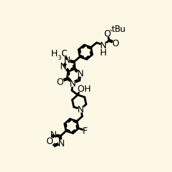 Cn1nc2c(=O)n(CC3(O)CCN(Cc4ccc(-c5ncon5)cc4F)CC3)cnc2c1-c1ccc(CNC(=O)OC(C)(C)C)cc1